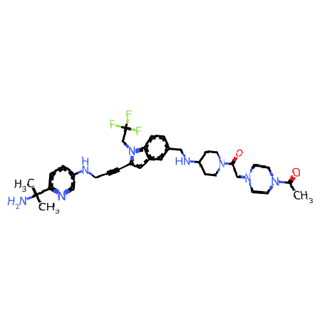 CC(=O)N1CCN(CC(=O)N2CCC(NCc3ccc4c(c3)cc(C#CCNc3ccc(C(C)(C)N)nc3)n4CC(F)(F)F)CC2)CC1